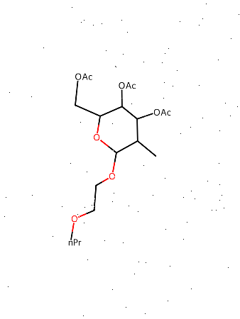 CCCOCCOC1OC(COC(C)=O)C(OC(C)=O)C(OC(C)=O)C1C